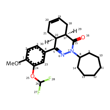 COc1ccc(C2=NN(C3CCCCCC3)C(=O)[C@@H]3CC=CC[C@H]23)cc1OC(F)F